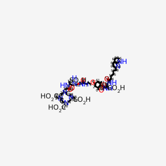 Cc1cc(OCCCC(=O)NCCNC(=O)C(CS(=O)(=O)O)NC(=O)CN2CCN(CC(=O)O)CCN(CC(=O)O)CCN(CC(=O)O)CC2)cc(C)c1S(=O)(=O)N[C@H](CNC(=O)CCCCCc1ccc2c(n1)NCCC2)C(=O)O